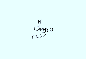 COCOc1ccc(CC2C=CC=CC2)cc1Pc1ccccc1CN(C)C